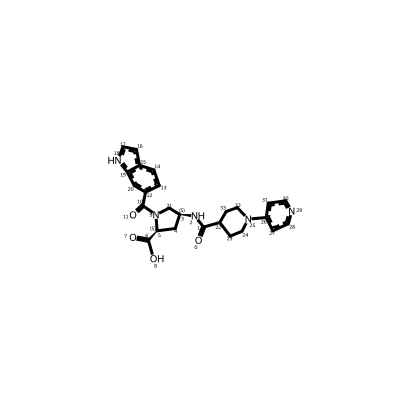 O=C(N[C@H]1C[C@@H](C(=O)O)N(C(=O)c2ccc3cc[nH]c3c2)C1)C1CCN(c2ccncc2)CC1